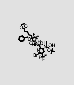 CC(C)(C)OC(O)Nc1cc(C(F)(F)F)c(Br)nc1C(=O)NNC(=O)C(CCCCC1OCCO1)(OCc1ccccc1)C(F)(F)F